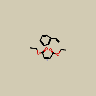 C=Cc1ccccc1.CCOC(=O)/C=C\C(=O)OCC